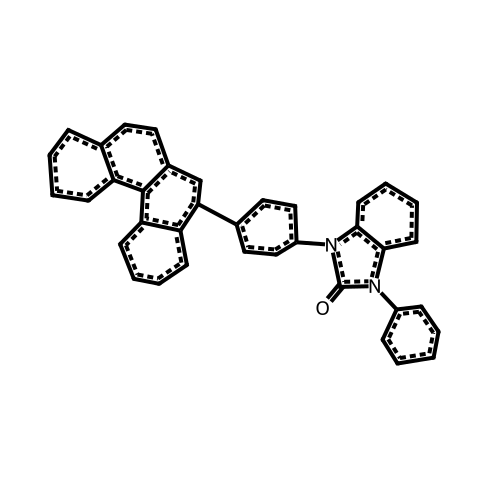 O=c1n(-c2ccccc2)c2ccccc2n1-c1ccc(-c2cc3ccc4ccccc4c3c3ccccc23)cc1